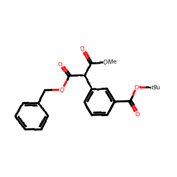 COC(=O)C(C(=O)OCc1ccccc1)c1cccc(C(=O)OC(C)(C)C)c1